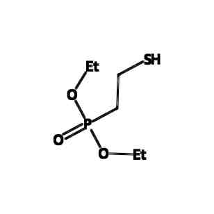 CCOP(=O)(CCS)OCC